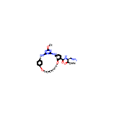 CCOc1nc2nc(n1)Nc1ccc(C(=O)N[C@@H](CN)C(=O)OC)c(c1)OCCCCCCOc1ccc(cc1)CN2